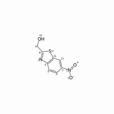 O=[N+]([O-])c1ccc2nc(CO)sc2c1